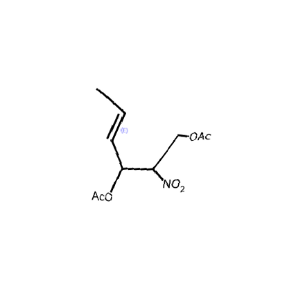 C/C=C/C(OC(C)=O)C(COC(C)=O)[N+](=O)[O-]